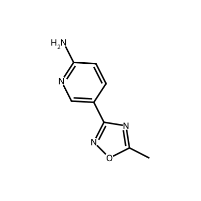 Cc1nc(-c2ccc(N)nc2)no1